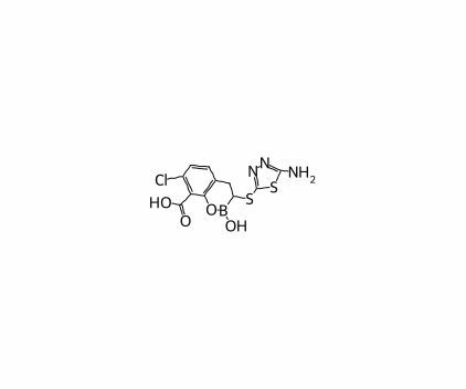 Nc1nnc(SC2Cc3ccc(Cl)c(C(=O)O)c3OB2O)s1